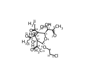 CC(=O)C(O)[C@H]1O[C@H](OCCCl)[C@@](O)(C(C)=O)[C@](O)(C(C)=O)[C@@]1(O)C(C)=O